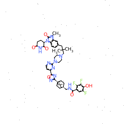 Cn1c(=O)n(C2CCC(=O)NC2=O)c2ccc(CC(C)(C)CN3CCN(c4nccc(-c5nc([C@]67CC[C@](CNC(=O)c8cc(F)c(O)c(F)c8F)(CC6)CC7)no5)n4)CC3)cc21